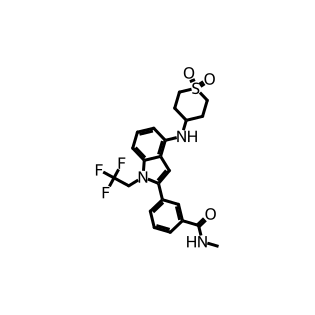 CNC(=O)c1cccc(-c2cc3c(NC4CCS(=O)(=O)CC4)cccc3n2CC(F)(F)F)c1